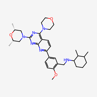 COc1ccc(-c2ccc3c(N4CCOCC4)nc(N4C[C@@H](C)O[C@@H](C)C4)nc3n2)cc1CNC1CCCC(C)C1C